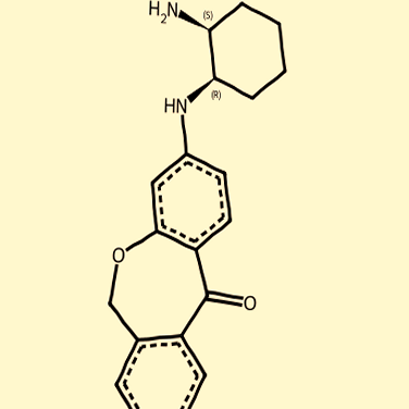 N[C@H]1CCCC[C@H]1Nc1ccc2c(c1)OCc1ccccc1C2=O